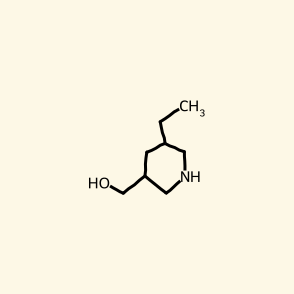 CCC1CNCC(CO)C1